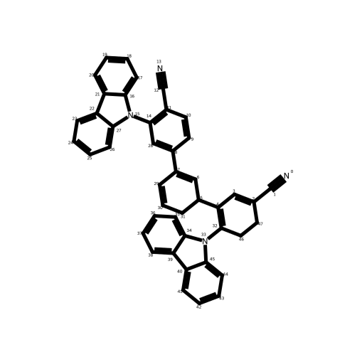 N#CC1=CC(C2C=C(c3ccc(C#N)c(-n4c5ccccc5c5ccccc54)c3)C=CC2)=C(n2c3ccccc3c3ccccc32)CC1